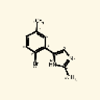 Cc1ncc(-c2cc(C(F)(F)F)ccc2Br)[nH]1